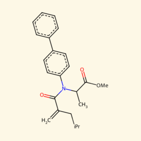 C=C(CC(C)C)C(=O)N(c1ccc(-c2ccccc2)cc1)C(C)C(=O)OC